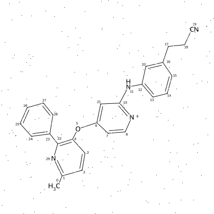 Cc1ccc(Oc2ccnc(Nc3cccc(CCC#N)c3)c2)c(-c2ccccc2)n1